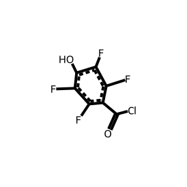 O=C(Cl)c1c(F)c(F)c(O)c(F)c1F